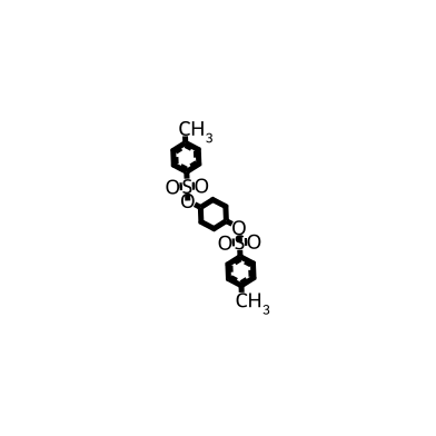 Cc1ccc(S(=O)(=O)OC2CCC(OS(=O)(=O)c3ccc(C)cc3)CC2)cc1